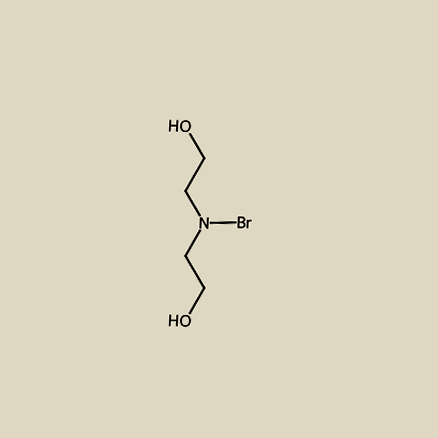 OCCN(Br)CCO